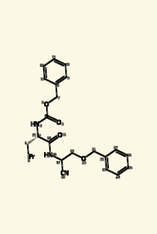 CC(C)C[C@H](NC(=O)OCc1ccccc1)C(=O)NC(C#N)COCc1ccccc1